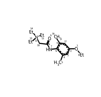 CCOc1cc(C)c(NC(=O)C[N+](CC)(CC)CC)c(C)c1